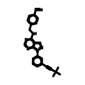 COc1ccc(CNc2ncnc3c2cnn3-c2cccc(C#C[Si](C)(C)C)c2)cc1